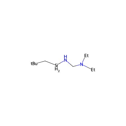 CCN(CC)CN[SiH2]CC(C)(C)C